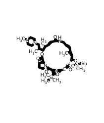 CC1=C\C(O[Si](C)(C)C(C)(C)C)CC(=O)Cc2nc(c([Si](C)(C)C)o2)C(=O)N2CCC[C@@H]2C(=O)O[C@H]([C@@H](C)CN2CCN(C)CC2)[C@H](C)/C=C/C(=O)NC\C=C\1